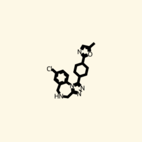 Cc1cnc(C2CCC(c3nnc4n3-c3ccc(Cl)cc3CNC4)CC2)o1